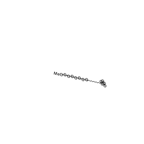 COCCOCCOCCOCCOCCOCCOCCOCCCCCCCCCCCC(=O)ON1C(=O)CCC1=O